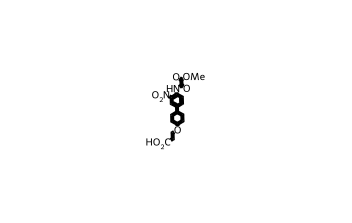 COC(=O)C(=O)Nc1ccc(C2CCC(OCCC(=O)O)CC2)cc1[N+](=O)[O-]